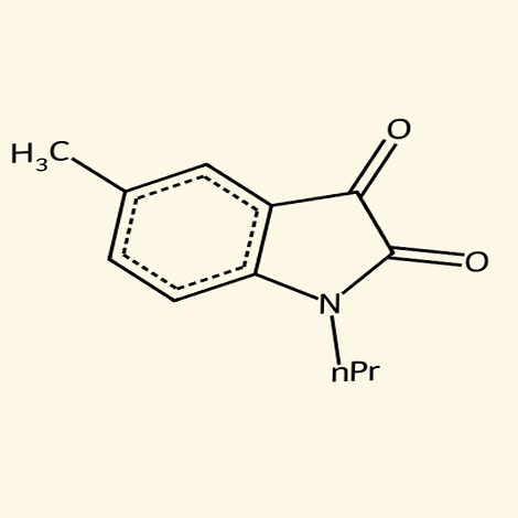 CCCN1C(=O)C(=O)c2cc(C)ccc21